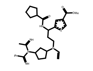 C=CN(CCC(NC(=O)C1CCCC1)c1cc(C(=O)OC)cs1)C1CCC(N(C(C)=N)C(=N)C(C)C)C1